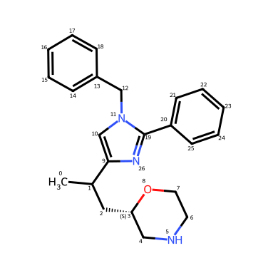 CC(C[C@H]1CNCCO1)c1cn(Cc2ccccc2)c(-c2ccccc2)n1